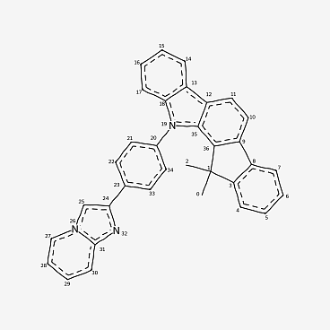 CC1(C)c2ccccc2-c2ccc3c4ccccc4n(-c4ccc(-c5cn6ccccc6n5)cc4)c3c21